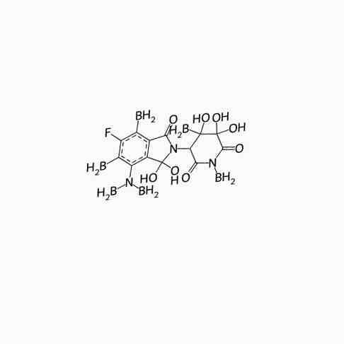 Bc1c(F)c(B)c(N(B)B)c2c1C(=O)N(C1C(=O)N(B)C(=O)C(O)(O)C1(B)O)C2(O)O